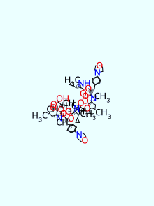 CN[C@@H](CC1CC1)C(=O)O[C@H](Cc1ccc(N2CCOCC2)cc1)C(=O)N(C)[C@@H](CC(C)C)C(=O)O[C@H](C)C(=O)N(C)[C@@H](CC1CC1)C(=O)O[C@H](Cc1ccc(N2CCOCC2)cc1)C(=O)N(C)[C@@H](CC(C)C)C(=O)O[C@H](C)C(=O)O